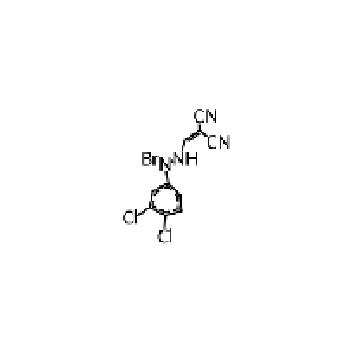 N#CC(C#N)=CNN(Br)c1ccc(Cl)c(Cl)c1